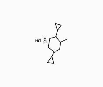 CC1CN(C2CC2)CCN1C1CC1.Cl.Cl